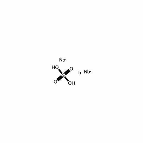 O=S(=O)(O)O.[Nb].[Nb].[Ti]